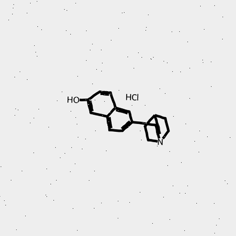 Cl.Oc1ccc2cc(C3=CN4CCC3CC4)ccc2c1